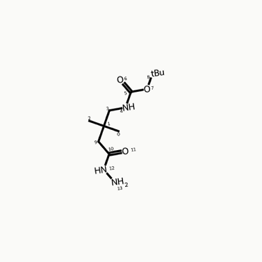 CC(C)(CNC(=O)OC(C)(C)C)CC(=O)NN